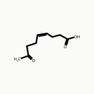 CC(=O)CC/C=C\CCC(=O)O